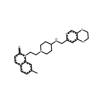 O=c1ccc2ccc(F)cc2n1CCN1CCC(NCc2cc3c(cn2)OCCO3)CC1